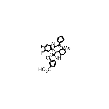 CO[C@H](c1ccccc1)c1nc2cc(F)c(F)cc2n1C(C(=O)Nc1ccc(C(=O)O)cc1Cl)C1CCCCC1